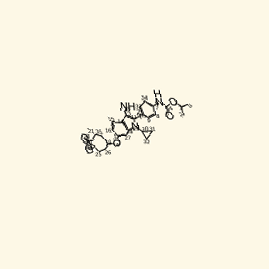 CC(C)OC(=O)Nc1ccc(-c2c(N)c3ccc(OC4CCS(=O)(=O)CC4)cc3n2C2CC2)cc1